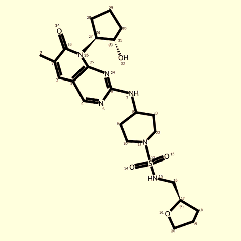 Cc1cc2cnc(NC3CCN(S(=O)(=O)NC[C@H]4CCCO4)CC3)nc2n([C@H]2CCC[C@@H]2O)c1=O